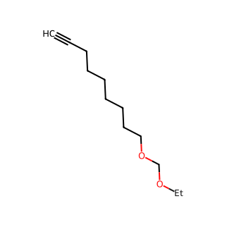 C#CCCCCCCCOCOCC